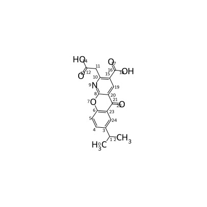 CC(C)c1ccc2oc3nc(CC(=O)O)c(C(=O)O)cc3c(=O)c2c1